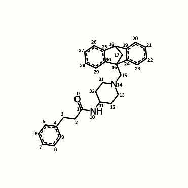 O=C(CCc1ccccc1)NC1CCN(CC23CC(c4ccccc42)c2ccccc23)CC1